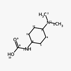 CN(C)C1CCC(NC(=O)O)CC1